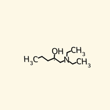 CCC[C](O)CN(CC)CC